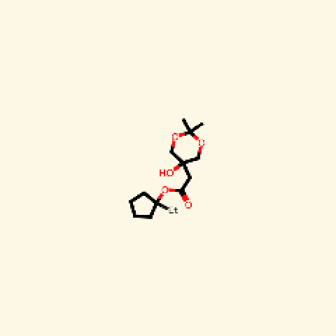 CCC1(OC(=O)CC2(O)COC(C)(C)OC2)CCCC1